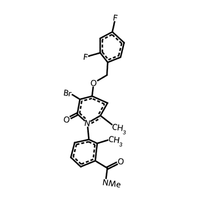 CNC(=O)c1cccc(-n2c(C)cc(OCc3ccc(F)cc3F)c(Br)c2=O)c1C